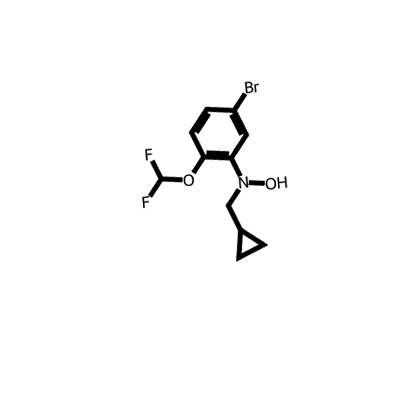 ON(CC1CC1)c1cc(Br)ccc1OC(F)F